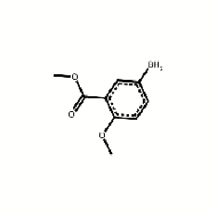 Bc1ccc(OC)c(C(=O)OC)c1